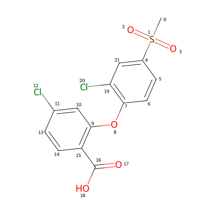 CS(=O)(=O)c1ccc(Oc2cc(Cl)ccc2C(=O)O)c(Cl)c1